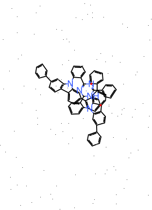 c1ccc(C2=NC(c3ccccc3-n3c4cc(-c5ccccc5)ccc4c4ccc(-c5ccccc5)cc43)=NC(c3ccccc3-n3c4cc(-c5ccccc5)ccc4c4ccc(-c5ccccc5)cc43)N2)cc1